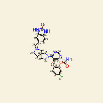 CNC(=O)Oc1cc(F)ccc1Oc1cncnc1N1CCC2(CCN(Cc3ccc4[nH]c(=O)[nH]c4c3)C2)C1